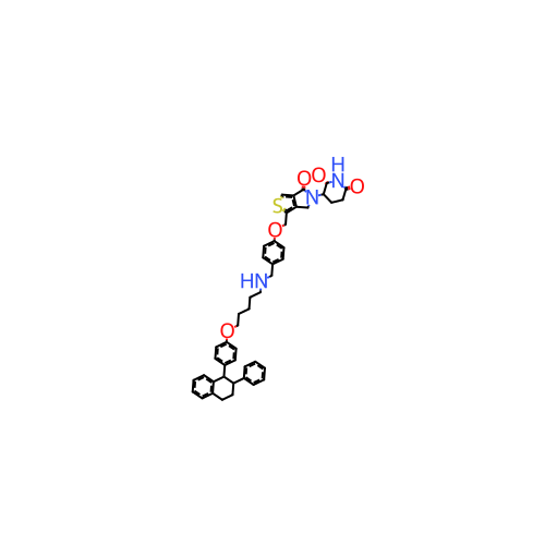 O=C1CCC(N2Cc3c(csc3COc3ccc(CNCCCCCOc4ccc(C5c6ccccc6CCC5c5ccccc5)cc4)cc3)C2=O)C(=O)N1